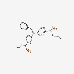 CCCC(S)c1ccc(C(=[C]c2ccccc2)c2ccc(C(S)CCC)cc2)cc1